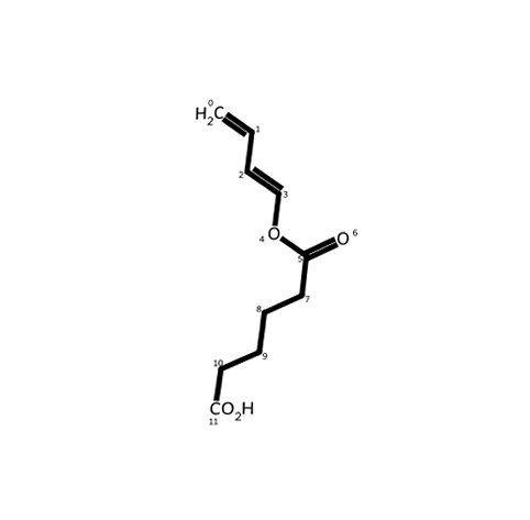 C=CC=COC(=O)CCCCC(=O)O